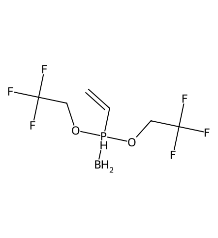 B[PH](C=C)(OCC(F)(F)F)OCC(F)(F)F